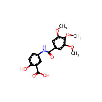 COc1cc(C(=O)Nc2ccc(O)c(C(=O)O)c2)cc(OC)c1OC